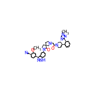 COc1cc(-c2n[nH]c3ccc(N4CCC5(CCN(CC(=O)N6CC=C(c7ccccc7-c7ncn(C)n7)CC6)C5)C4=O)cc23)ccc1C#N